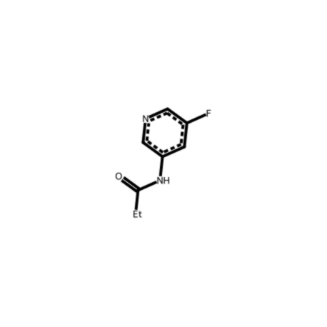 CCC(=O)Nc1cncc(F)c1